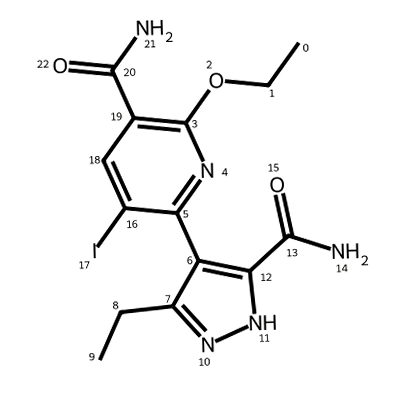 CCOc1nc(-c2c(CC)n[nH]c2C(N)=O)c(I)cc1C(N)=O